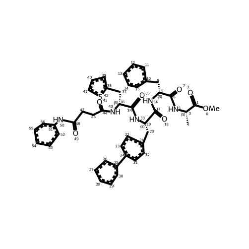 COC(=O)[C@H](C)NC(=O)[C@@H](Cc1ccccc1)NC(=O)[C@H](Cc1ccc(-c2ccccc2)cc1)NC(=O)[C@@H](Cc1cccs1)NC(=O)CCC(=O)Nc1ccccc1